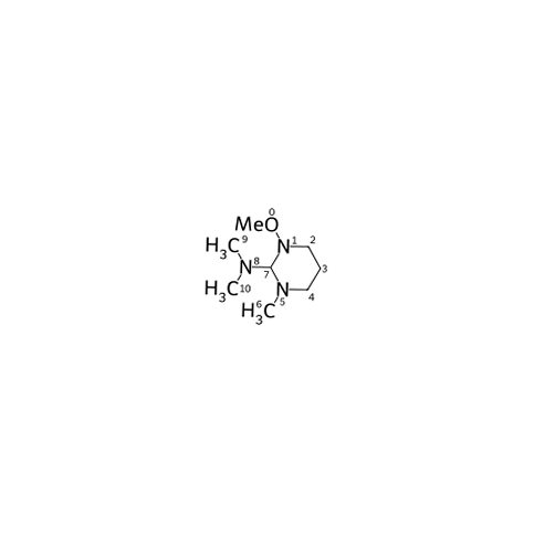 CON1CCCN(C)C1N(C)C